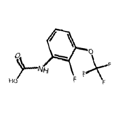 O=C(O)Nc1cccc(OC(F)(F)F)c1F